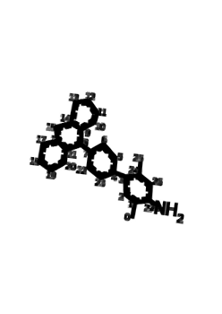 Cc1cc(-c2ccc(-c3c4ccccc4cc4ccccc34)cc2)c(C)cc1N